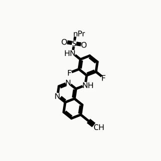 C#Cc1ccc2ncnc(Nc3c(F)ccc(NS(=O)(=O)CCC)c3F)c2c1